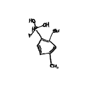 Cc1ccc([PH](O)(O)F)c(C(C)(C)C)c1